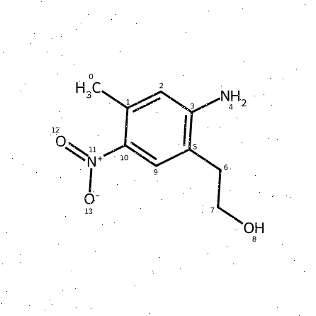 Cc1cc(N)c(CCO)cc1[N+](=O)[O-]